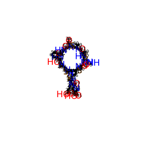 CNC(=O)C[C@@H]1NC(=O)c2csc(n2)-c2ccc(-c3nc(N(CCCC(=O)O)C(=O)c4ccc(C(=O)O)cn4)cs3)nc2-c2csc(n2)-c2csc(n2)[C@H]([C@@H](O)c2ccccc2)NC(=O)CNC(=O)c2nc(sc2COC)[C@H](C(C)C)NC(=O)c2nc1sc2C